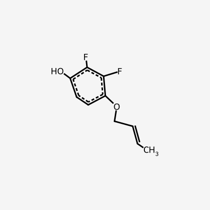 C/C=C/COc1ccc(O)c(F)c1F